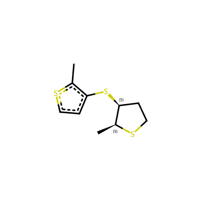 Cc1sccc1S[C@H]1CCS[C@H]1C